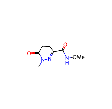 CONC(=O)C1=NN(C)C(=O)CC1